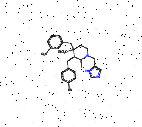 CCOC(=O)C1(Cc2cccc([N+](=O)[O-])c2)CCN(Cc2cnc[nH]2)C(C)C1Cc1ccc(C#N)cc1